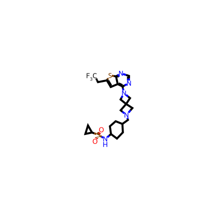 O=S(=O)(NC1CCC(CN2CC3(C2)CN(c2ncnc4sc(CC(F)(F)F)cc24)C3)CC1)C1CC1